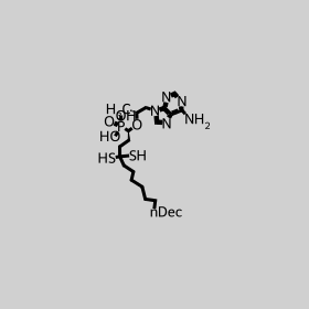 CCCCCCCCCCCCCCCCC(S)(S)CC[C@H](O[C@H](C)Cn1cnc2c(N)ncnc21)P(=O)(O)O